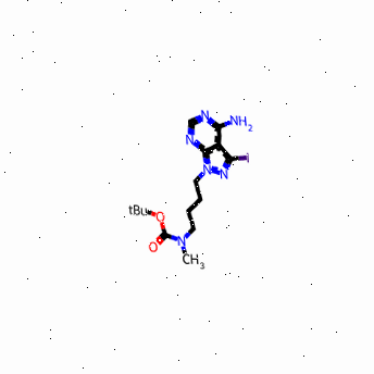 CN(CCCCn1nc(I)c2c(N)ncnc21)C(=O)OC(C)(C)C